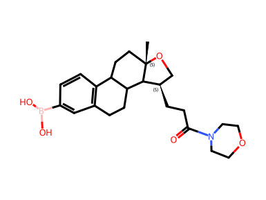 C[C@]12CCC3c4ccc(B(O)O)cc4CCC3C1[C@H](CCC(=O)N1CCOCC1)CO2